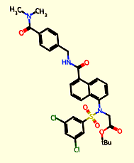 CN(C)C(=O)c1ccc(CNC(=O)c2cccc3c(N(CC(=O)OC(C)(C)C)S(=O)(=O)c4cc(Cl)cc(Cl)c4)cccc23)cc1